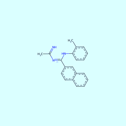 CC(=N)/N=C(\Nc1ccccc1C)c1ccc2ccccc2c1